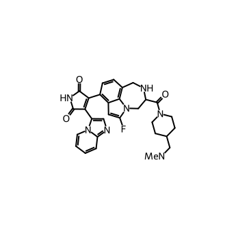 CNCC1CCN(C(=O)C2Cn3c(F)cc4c(C5=C(c6cnc7ccccn67)C(=O)NC5=O)ccc(c43)CN2)CC1